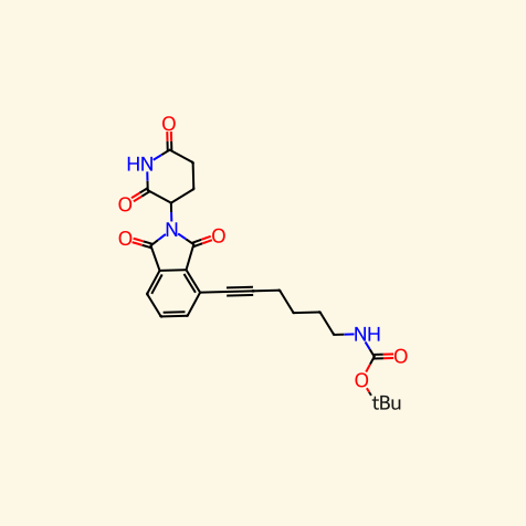 CC(C)(C)OC(=O)NCCCCC#Cc1cccc2c1C(=O)N(C1CCC(=O)NC1=O)C2=O